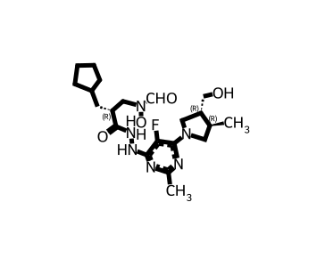 Cc1nc(NNC(=O)[C@H](CC2CCCC2)CN(O)C=O)c(F)c(N2C[C@H](CO)[C@@H](C)C2)n1